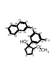 COC1CCCC1(O)c1cc(F)cc(Sc2ccc3ccccc3c2)c1